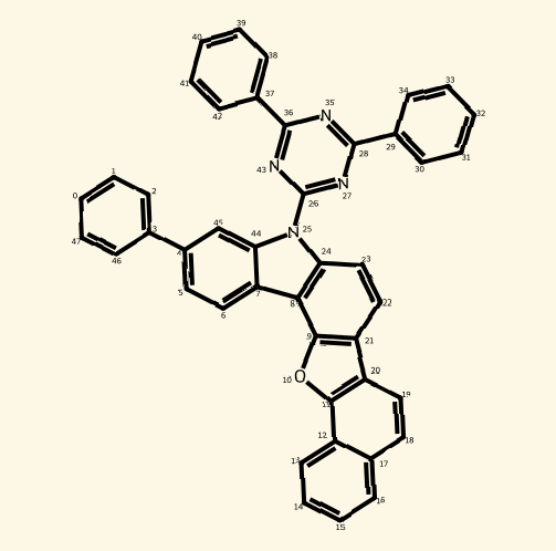 c1ccc(-c2ccc3c4c5oc6c7ccccc7ccc6c5ccc4n(-c4nc(-c5ccccc5)nc(-c5ccccc5)n4)c3c2)cc1